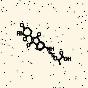 CC(OCCNc1ccc2c(c1)C(=O)N(C1CCC(=O)NC1=O)C2=O)C(=O)O